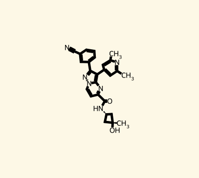 Cc1cc(-c2c(-c3cccc(C#N)c3)nn3ccc(C(=O)N[C@H]4C[C@@](C)(O)C4)nc23)cc(C)n1